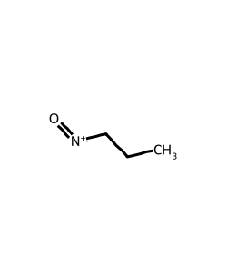 CCC[N+]=O